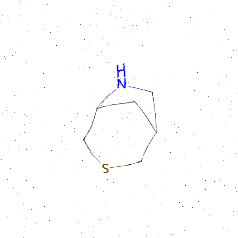 C1NC2CSCC1C2